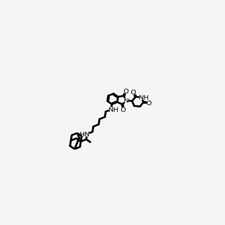 CC(NCCCCCCNc1cccc2c1C(=O)N(C1CCC(=O)NC1=O)C2=O)C12CC3CC(CC(C3)C1)C2